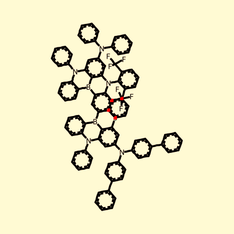 FC(F)(F)c1cccc(-c2ccccc2)c1N1c2cc(N(c3ccccc3)c3ccccc3)cc3c2B(c2ccccc2N3c2ccccc2)c2cc3c(c(C(F)(F)F)c21)Sc1cc(N(c2ccc(-c4ccccc4)cc2)c2ccc(-c4ccccc4)cc2)cc2c1B3c1ccccc1N2c1ccccc1